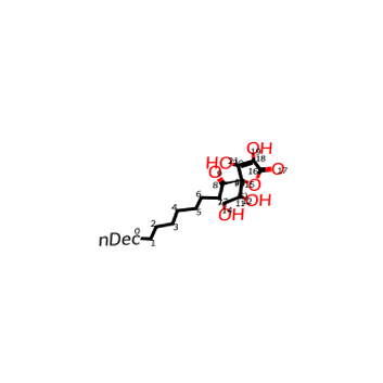 CCCCCCCCCCCCCCCCCC(=O)[C@]1([C@@H](O)CO)OC(=O)C(O)=C1O